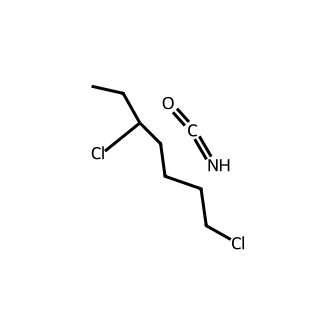 CCC(Cl)CCCCCl.N=C=O